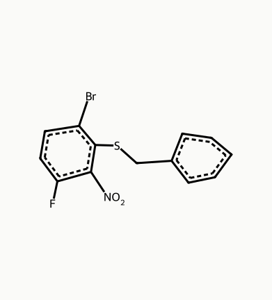 O=[N+]([O-])c1c(F)ccc(Br)c1SCc1ccccc1